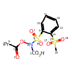 CC(C)C(=O)ON(C(=O)O)S(=O)(=O)c1ccccc1S(C)(=O)=O